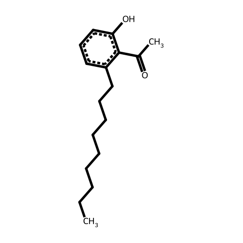 CCCCCCCCCc1cccc(O)c1C(C)=O